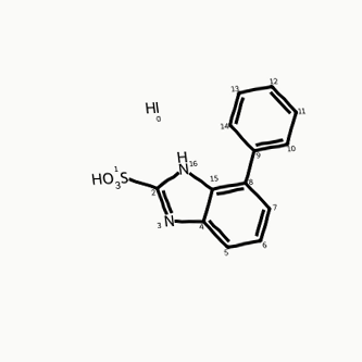 I.O=S(=O)(O)c1nc2cccc(-c3ccccc3)c2[nH]1